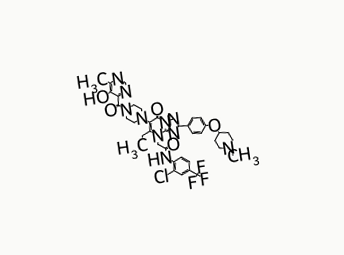 CCc1c(N2CCN(C(=O)c3ncnc(C)c3O)CC2)c(=O)n2nc(-c3ccc(OC4CCN(C)CC4)cc3)nc2n1CC(=O)Nc1ccc(C(F)(F)F)cc1Cl